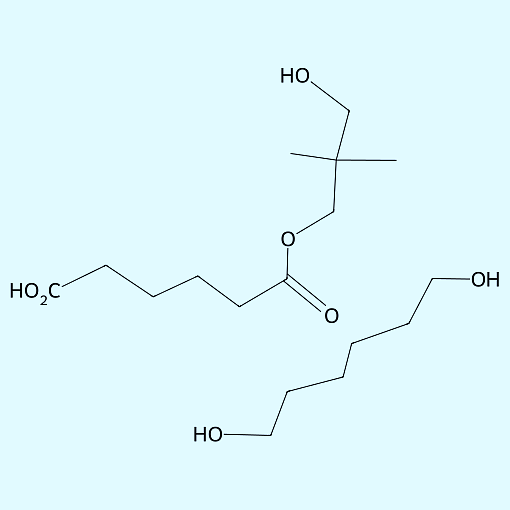 CC(C)(CO)COC(=O)CCCCC(=O)O.OCCCCCCO